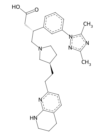 Cc1nc(C)n(-c2cccc([C@@H](CC(=O)O)CN3CC[C@@H](CCc4ccc5c(n4)NCCC5)C3)c2)n1